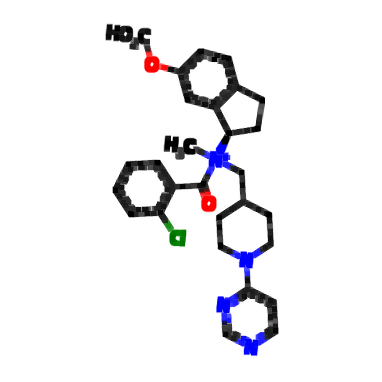 C[N+](CC1CCN(c2ccncn2)CC1)(C(=O)c1ccccc1Cl)[C@@H]1CCc2ccc(OC(=O)O)cc21